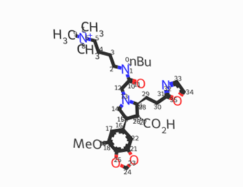 CCCCN(CCCC[N+](C)(C)C)C(=O)CN1C[C@H](c2cc(OC)c3c(c2)OCO3)[C@@H](C(=O)O)[C@@H]1CCc1ncco1